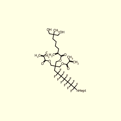 C=C(C)C(=O)OCC(COC(=O)C(=C)C)(COC(=O)C(=C)CCCCC(C)(CO)CO)CC(F)(F)C(F)(F)C(F)(F)C(F)(F)C(F)(F)C(F)(F)CCCCCCC